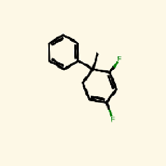 CC1(c2ccccc2)[CH]C=C(F)C=C1F